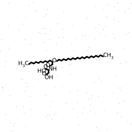 CCCCCCCCCCCCCCCCCCCCCCOC(CCCCCCCCCCC)CC(=O)NC(CC(=O)O)C(=O)O